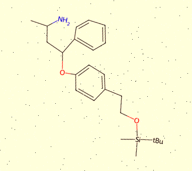 CC(N)CC(Oc1ccc(CCO[Si](C)(C)C(C)(C)C)cc1)c1ccccc1